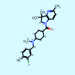 Cc1ccc2c(n1)C(C)(C)CN2C(=O)C1CCC(N(C)Cc2ccc(C#N)c(F)c2)CC1